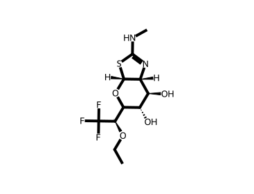 CCO[C@H](C1O[C@@H]2SC(NC)=N[C@@H]2[C@@H](O)[C@@H]1O)C(F)(F)F